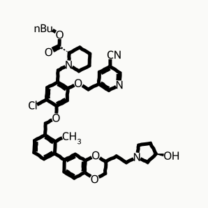 CCCCOC(=O)[C@@H]1CCCCN1Cc1cc(Cl)c(OCc2cccc(-c3ccc4c(c3)OC(CCN3CC[C@@H](O)C3)CO4)c2C)cc1OCc1cncc(C#N)c1